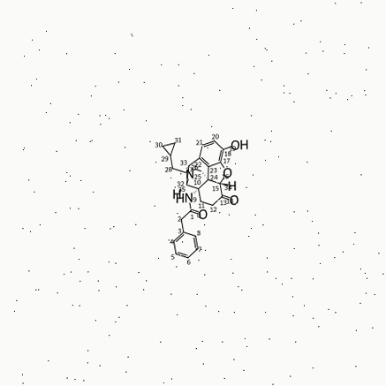 O=C(Cc1ccccc1)N[C@@]12CCC(=O)[C@H]3Oc4c(O)ccc5c4[C@@]31CCN(CC1CC1)[C@@H]2C5